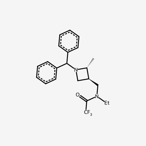 CCN(C[C@H]1CN(C(c2ccccc2)c2ccccc2)[C@@H]1C)C(=O)C(F)(F)F